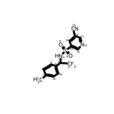 Cc1ccc(C(NS(=O)(=O)c2cncc(C#N)c2)C(F)(F)F)cc1